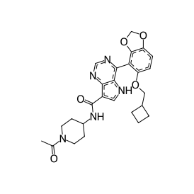 CC(=O)N1CCC(NC(=O)c2c[nH]c3c(-c4c(OCC5CCC5)ccc5c4OCO5)ncnc23)CC1